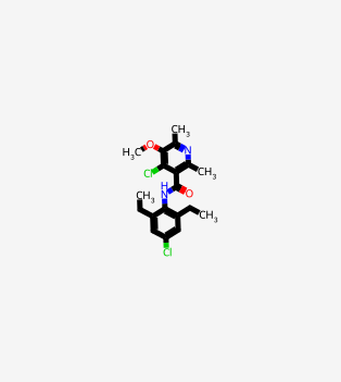 CCc1cc(Cl)cc(CC)c1NC(=O)c1c(C)nc(C)c(OC)c1Cl